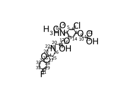 CC(=O)Nc1cc(Cl)c(OCC(=O)O)cc1OC[C@H](O)CN1CCC2(CC1)Cc1cc(F)ccc1O2